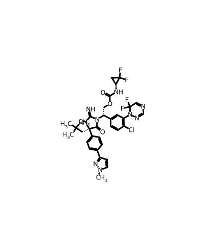 Cn1ccc(-c2ccc([C@@]3(CC(C)(C)C)NC(=N)N([C@H](COC(=O)N[C@H]4CC4(F)F)c4ccc(Cl)c(N5N=CN=CC5(F)F)c4)C3=O)cc2)n1